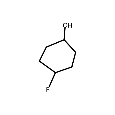 OC1CCC(F)CC1